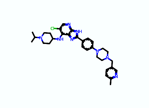 Cc1ccc(CN2CCN(c3ccc(-c4nc5c(NC6CCN(C(C)C)CC6)c(Cl)cnc5[nH]4)cc3)CC2)cn1